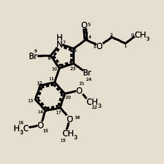 CCCOC(=O)c1[nH]c(Br)c(-c2ccc(OC)c(OC)c2OC)c1Br